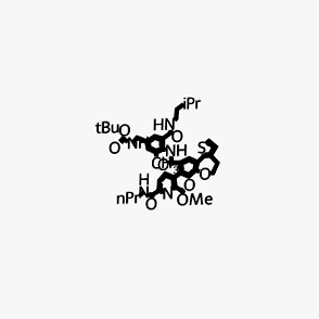 CCCNC(=O)c1ccc(-c2cc3c(cc2C(=O)Nc2c(C)cc(CNC(=O)OC(C)(C)C)cc2C(=O)NCCC(C)C)-c2sccc2CCO3)c(C(=O)OC)n1